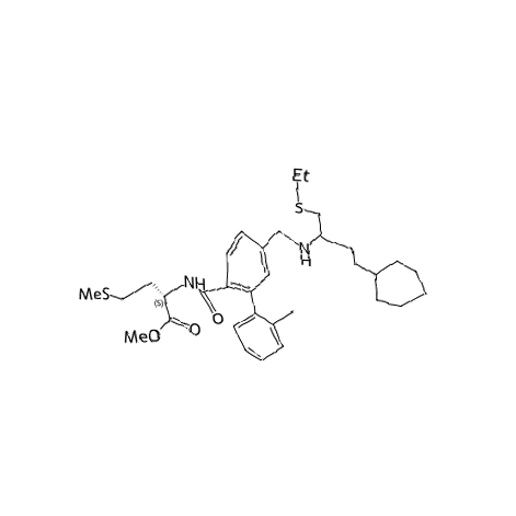 CCSCC(CCC1CCCCC1)NCc1ccc(C(=O)N[C@@H](CCSC)C(=O)OC)c(-c2ccccc2C)c1